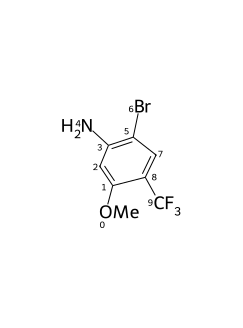 COc1cc(N)c(Br)cc1C(F)(F)F